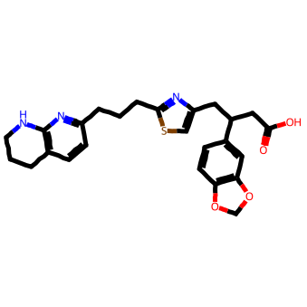 O=C(O)CC(Cc1csc(CCCc2ccc3c(n2)NCCC3)n1)c1ccc2c(c1)OCO2